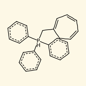 C1=CC=C(C[PH](c2ccccc2)(c2ccccc2)c2ccccc2)CC=C1